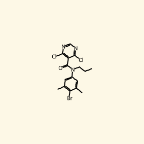 CCCN(C(=O)c1c(Cl)ncnc1Cl)c1cc(C)c(Br)c(C)c1